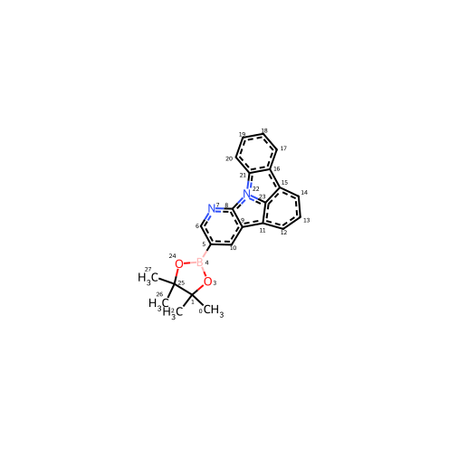 CC1(C)OB(c2cnc3c(c2)c2cccc4c5ccccc5n3c42)OC1(C)C